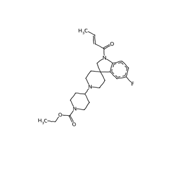 C/C=C/C(=O)N1CC2(CCN(C3CCN(C(=O)OCC)CC3)CC2)c2cc(F)ccc21